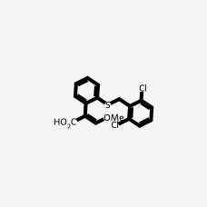 CO/C=C(/C(=O)O)c1ccccc1SCc1c(Cl)cccc1Cl